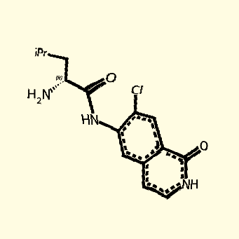 CC(C)C[C@@H](N)C(=O)Nc1cc2cc[nH]c(=O)c2cc1Cl